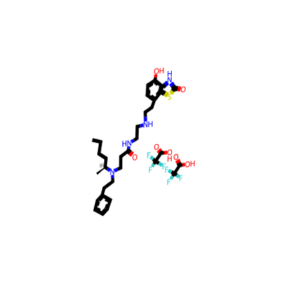 CCCC[C@H](C)N(CCC(=O)NCCNCCc1ccc(O)c2[nH]c(=O)sc12)CCc1ccccc1.O=C(O)C(F)(F)F.O=C(O)C(F)(F)F